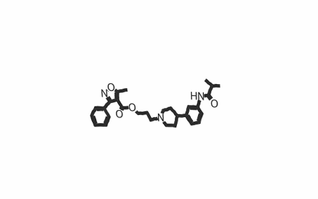 Cc1onc(-c2ccccc2)c1C(=O)OCCCN1CCC(c2cccc(NC(=O)C(C)C)c2)CC1